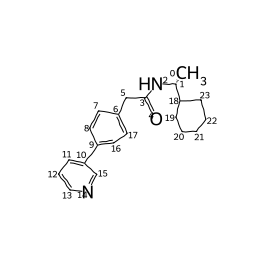 C[C@@H](NC(=O)Cc1ccc(-c2cccnc2)cc1)C1CCCCC1